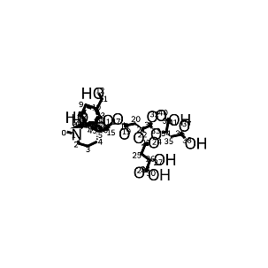 CN1CCC[C@]23c4c5ccc(CO)c4O[C@H]2C(OC(=O)C[C@H](OC(=O)C[C@H](O)C(=O)O)C(=O)O[C@@H](CC(=O)O)C(=O)O)=CC[C@@]3(O)[C@H]1C5